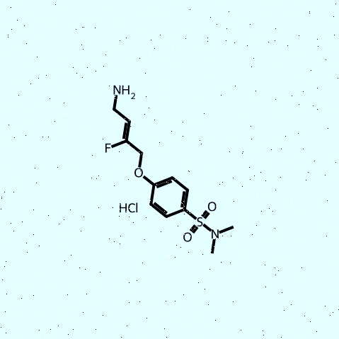 CN(C)S(=O)(=O)c1ccc(OCC(F)=CCN)cc1.Cl